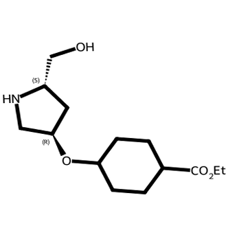 CCOC(=O)C1CCC(O[C@H]2CN[C@H](CO)C2)CC1